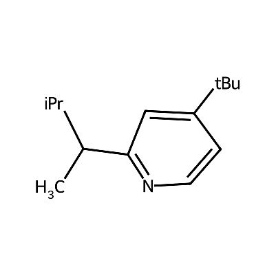 CC(C)C(C)c1cc(C(C)(C)C)ccn1